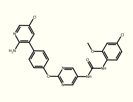 COc1cc(Cl)ccc1NC(=O)Nc1cnc(Oc2ccc(-c3cc(Cl)cnc3N)cc2)nc1